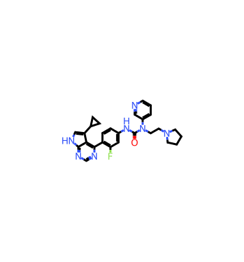 O=C(Nc1ccc(-c2ncnc3[nH]cc(C4CC4)c23)c(F)c1)N(CCN1CCCC1)c1cccnc1